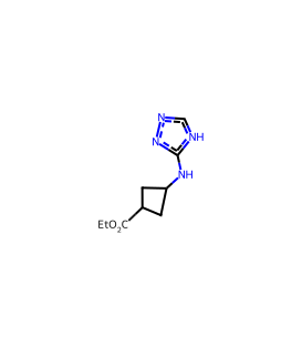 CCOC(=O)C1CC(Nc2nnc[nH]2)C1